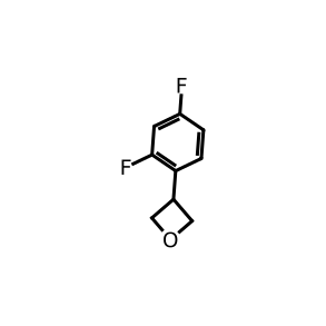 Fc1ccc(C2COC2)c(F)c1